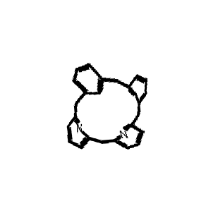 c1cc2cc(c1)Cc1cccc(n1)Cc1cccc(n1)Cc1cccc(c1)C2